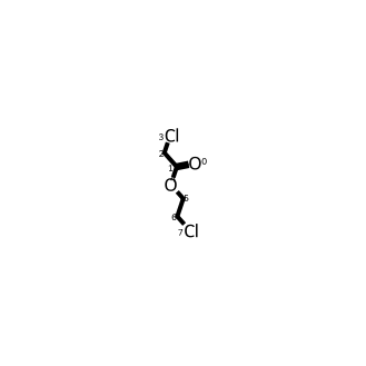 O=C(CCl)OCCCl